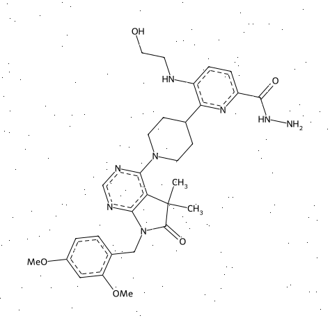 COc1ccc(CN2C(=O)C(C)(C)c3c(N4CCC(c5nc(C(=O)NN)ccc5NCCO)CC4)ncnc32)c(OC)c1